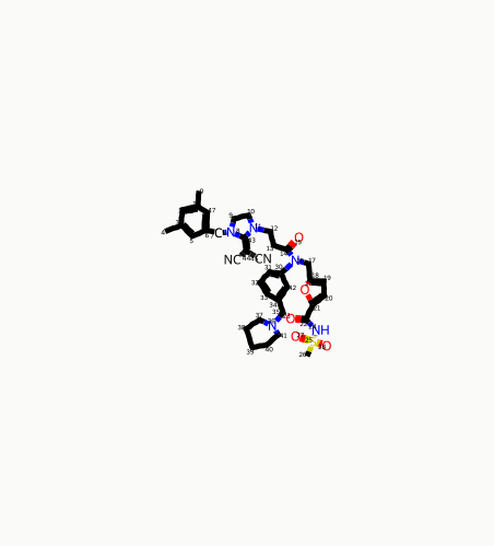 Cc1cc(C)cc(CN2CCN(CCC(=O)N(Cc3ccc(C(=O)NS(C)(=O)=O)o3)c3cccc(CN4CCCCC4)c3)C2=C(C#N)C#N)c1